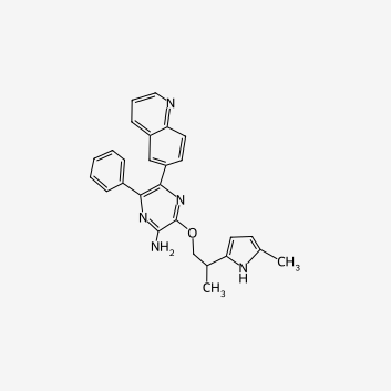 Cc1ccc(C(C)COc2nc(-c3ccc4ncccc4c3)c(-c3ccccc3)nc2N)[nH]1